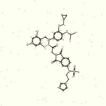 CS(=O)(=O)N(CCn1ccnc1)c1ccc2c(c1)C(=O)N(CC(=O)O[C@@H](Cc1c(Cl)c[n+]([O-])cc1Cl)c1ccc(OC(F)F)c(OCC3CC3)c1)C2=O